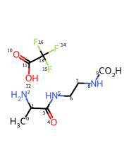 CC(N)C(=O)NCCNC(=O)O.O=C(O)C(F)(F)F